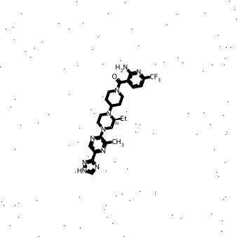 CC[C@H]1CN(c2ncc(-c3nc[nH]n3)nc2C)CCN1C1CCN(C(=O)c2ccc(C(F)(F)F)nc2N)CC1